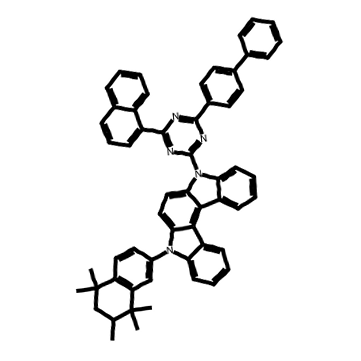 CC1CC(C)(C)c2ccc(-n3c4ccccc4c4c5c6ccccc6n(-c6nc(-c7ccc(-c8ccccc8)cc7)nc(-c7cccc8ccccc78)n6)c5ccc43)cc2C1(C)C